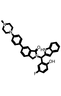 CN1CCN(c2ccc(-c3ccc4c(c3)C(=O)N(C(c3cc5ccccc5[nH]3)c3cc(F)ccc3O)C4)cc2)CC1